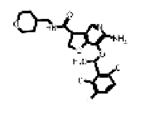 C[C@@H](Oc1c(N)ncc2c1OCC2C(=O)NCC1CCOCC1)c1c(Cl)ccc(F)c1Cl